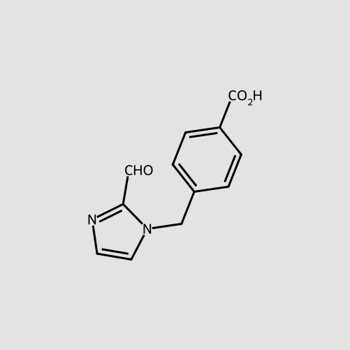 O=Cc1nccn1Cc1ccc(C(=O)O)cc1